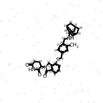 Cc1cc(CSc2cccc3c2CN(C2CCC(=O)NC2=O)C3=O)ccc1CNC12CC3CC(CC(C3)C1)C2